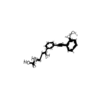 COc1ccccc1C#Cc1cccc(C(O)CCNC(=O)O)c1